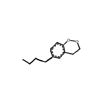 CCCCc1ccc2c(c1)CCOO2